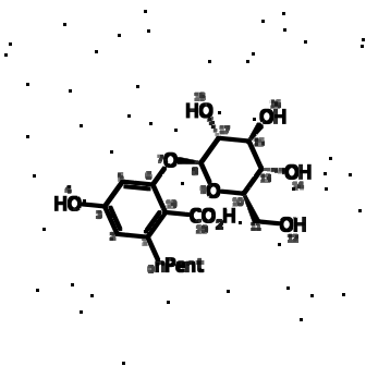 CCCCCc1cc(O)cc(O[C@@H]2O[C@H](CO)[C@@H](O)[C@H](O)[C@H]2O)c1C(=O)O